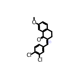 COc1ccc2c(c1)C(=O)/C(=C\c1ccc(Cl)c(Cl)c1)CC2